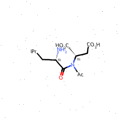 CC(=O)N(C(=O)[C@@H](N)CC(C)C)[C@@H](CC(=O)O)C(=O)O